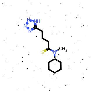 CN(C(=S)CCCc1nnn[nH]1)C1CCCCC1